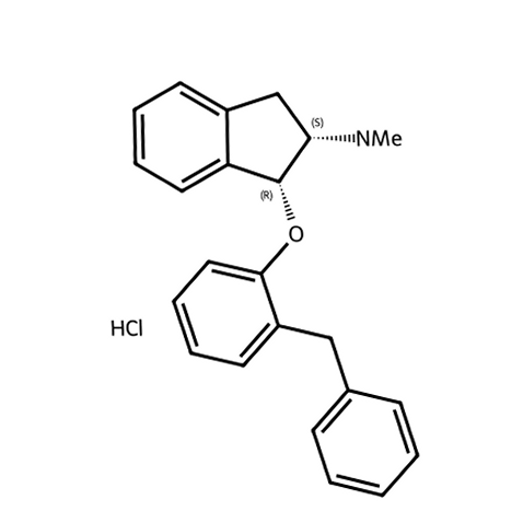 CN[C@H]1Cc2ccccc2[C@H]1Oc1ccccc1Cc1ccccc1.Cl